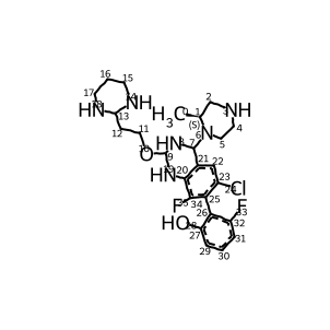 C[C@H]1CNCCN1C1NC(OCCC2NCCCN2)Nc2c1cc(Cl)c(-c1c(O)cccc1F)c2F